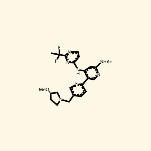 CO[C@H]1CCN(Cc2ccc(-c3cnc(NC(C)=O)cc3Nc3ccnc(C(C)(F)F)n3)nc2)C1